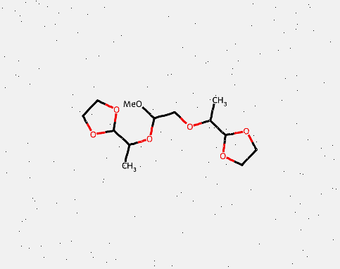 COC(COC(C)C1OCCO1)OC(C)C1OCCO1